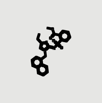 CCc1cn(Cc2cccc3ccccc23)c(=NS(=O)(=O)c2ccccc2C(=O)OC)s1